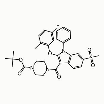 Cc1ccc(F)cc1Oc1c(C(=O)N2CCN(C(=O)OC(C)(C)C)CC2)c2ccc(S(C)(=O)=O)cc2n1-c1ccccc1